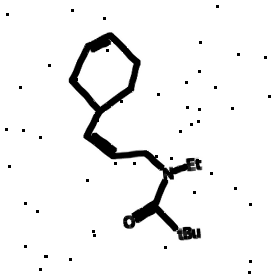 CCN(C/C=C\C1CC=CCC1)C(=O)C(C)(C)C